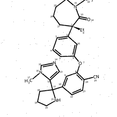 CC[C@@]1(c2cccc(Oc3cc(C4(c5cncn5C)CCCN4)ccc3C#N)c2)CCCCN(C)C1=O